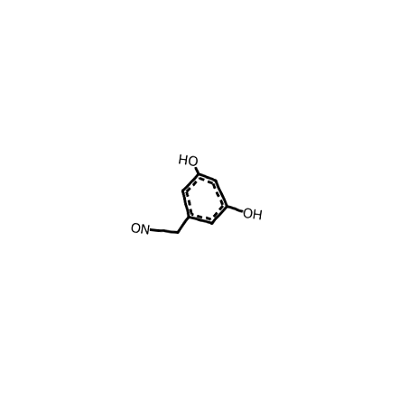 O=NCc1cc(O)cc(O)c1